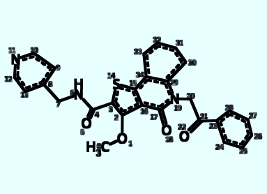 COc1c(C(=O)NCc2ccncc2)sc2c1c(=O)n(CC(=O)c1ccccc1)c1ccccc21